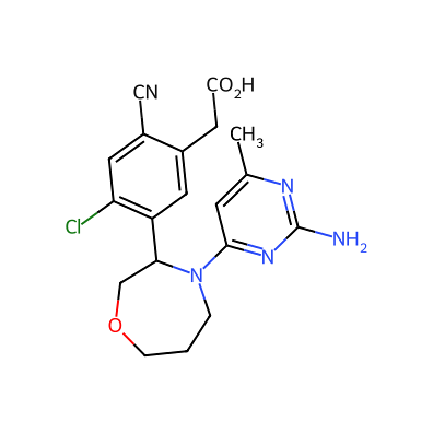 Cc1cc(N2CCCOCC2c2cc(CC(=O)O)c(C#N)cc2Cl)nc(N)n1